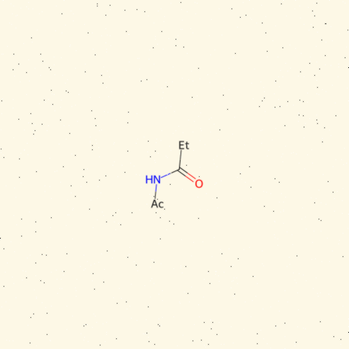 CCC(=O)NC(C)=O